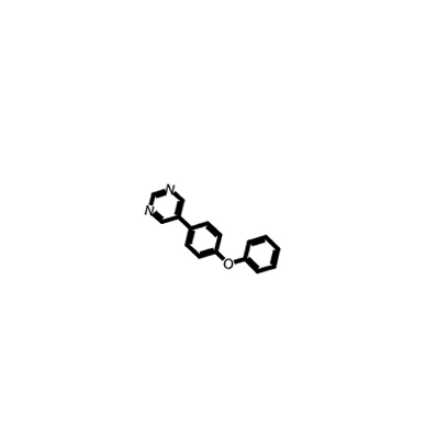 c1ccc(Oc2ccc(-c3cncnc3)cc2)cc1